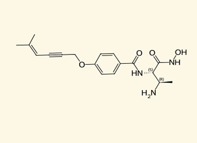 CC(C)=CC#CCOc1ccc(C(=O)N[C@H](C(=O)NO)[C@@H](C)N)cc1